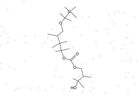 CC(COC(=O)OC(C)(C)C(C)(C)C(C)COC(C)(C)[Si](C)(C)C)C(C)(C)O